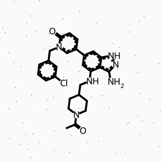 CC(=O)N1CCC(CNc2cc(-c3ccc(=O)n(Cc4cccc(Cl)c4)c3)cc3[nH]nc(N)c23)CC1